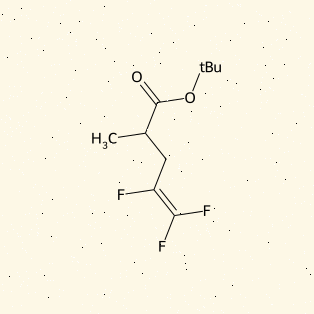 CC(CC(F)=C(F)F)C(=O)OC(C)(C)C